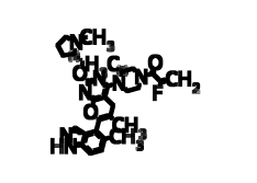 C=C(F)C(=O)N1CCN(c2nc(OC[C@@H]3CCCN3C)nc3c2CC(C)=C(c2c(C)ccc4[nH]ncc24)O3)[C@@H](C)C1